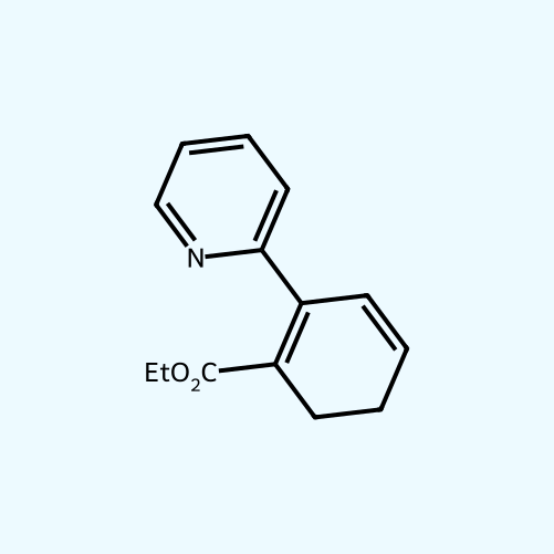 CCOC(=O)C1=C(c2ccccn2)C=CCC1